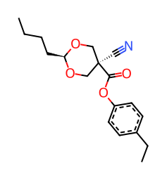 CCCC[C@H]1OC[C@@](C#N)(C(=O)Oc2ccc(CC)cc2)CO1